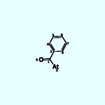 O=C([At])c1ccccc1